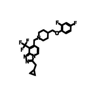 Fc1ccc(OCC2CCN(Cc3ccn4c(CC5CC5)nnc4c3C(F)(F)F)CC2)c(F)c1